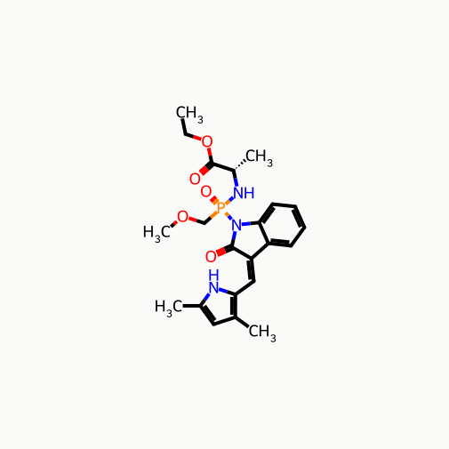 CCOC(=O)[C@H](C)NP(=O)(COC)N1C(=O)/C(=C\c2[nH]c(C)cc2C)c2ccccc21